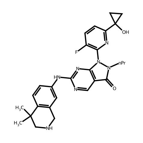 CCCn1c(=O)c2cnc(Nc3ccc4c(c3)CNCC4(C)C)nc2n1-c1nc(C2(O)CC2)ccc1F